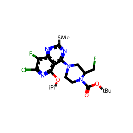 CSc1nc(N2CCN(C(=O)OC(C)(C)C)C(CF)C2)c2c(OC(C)C)nc(Cl)c(F)c2n1